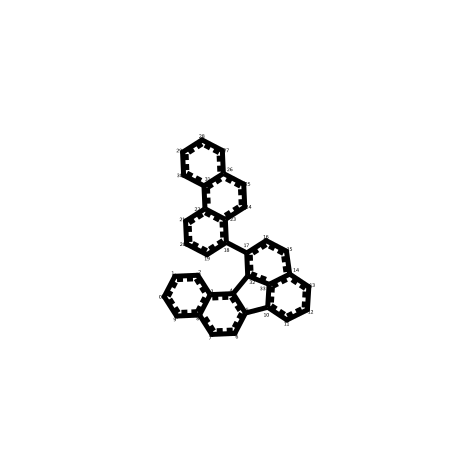 c1ccc2c3c(ccc2c1)-c1cccc2ccc(-c4cccc5c4ccc4ccccc45)c-3c12